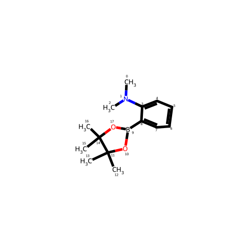 CN(C)c1ccccc1B1OC(C)(C)C(C)(C)O1